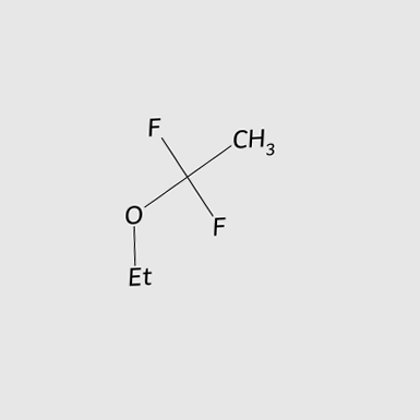 CCOC(C)(F)F